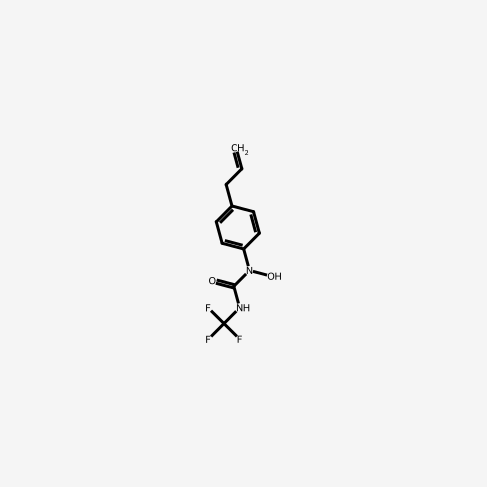 C=CCc1ccc(N(O)C(=O)NC(F)(F)F)cc1